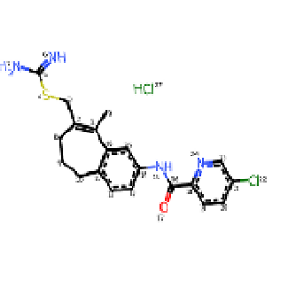 CC1=C(CSC(=N)N)CCCc2ccc(NC(=O)c3ccc(Cl)cn3)cc21.Cl